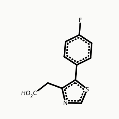 O=C(O)Cc1ncsc1-c1ccc(F)cc1